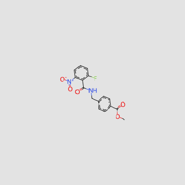 COC(=O)c1ccc(CNC(=O)c2c(F)cccc2[N+](=O)[O-])cc1